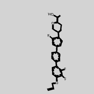 C=CCOc1ccc(-c2ccc(-c3ccc(C4CCC(C(C)O)OC4)c(F)c3)cc2)c(F)c1F